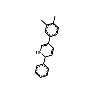 Cc1ccc(C2=CNC(c3ccccc3)C=C2)cc1C